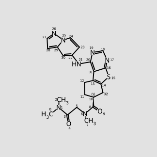 CN(C)C(=O)CN(C)C(=O)[C@H]1CCc2c(sc3ncnc(Nc4ccn5nccc5c4)c23)C1